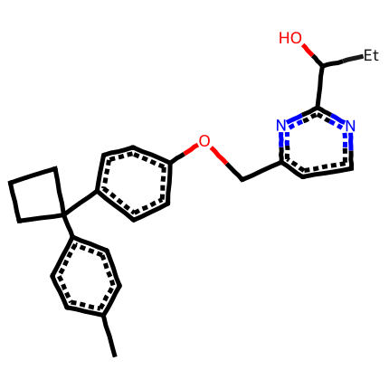 CCC(O)c1nccc(COc2ccc(C3(c4ccc(C)cc4)CCC3)cc2)n1